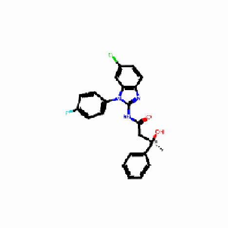 C[C@@](O)(CC(=O)Nc1nc2ccc(Cl)cc2n1-c1ccc(F)cc1)c1ccccc1